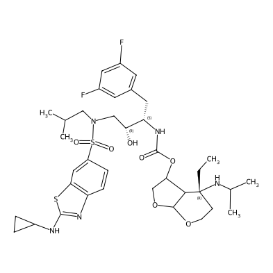 CC[C@@]1(NC(C)C)CCOC2OCC(OC(=O)N[C@@H](Cc3cc(F)cc(F)c3)[C@H](O)CN(CC(C)C)S(=O)(=O)c3ccc4nc(NC5CC5)sc4c3)C21